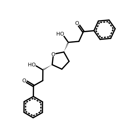 O=C(CC(O)[C@@H]1CC[C@H](C(O)CC(=O)c2ccccc2)O1)c1ccccc1